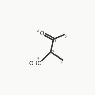 CC(=O)C(C)[C]=O